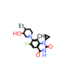 CCC1CCN(c2c(F)cc3c(=O)[nH]c(=O)n(C4CC4)c3c2C)CC1O